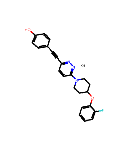 Oc1ccc(C#Cc2ccc(N3CCC(Oc4ccccc4F)CC3)nn2)cc1.[KH]